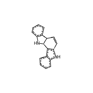 C1=CC2c3ccccc3NC2c2c1[nH]c1ccccc21